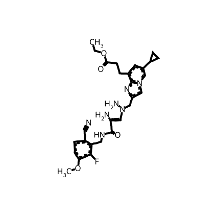 CCOC(=O)CCc1cc(C2CC2)cn2cc(CN(N)/C=C(\N)C(=O)NCc3c(C#N)ccc(OC)c3F)nc12